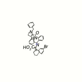 O=C(O)[C@@H](/N=C(\c1ccccc1)c1ccccc1NC(=O)[C@@H]1CCCN1Cc1ccccc1)[C@@H]1CCCc2ccc(Br)cc21